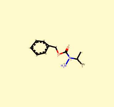 CC(C)C(C)N(N)C(=O)OCc1ccccc1